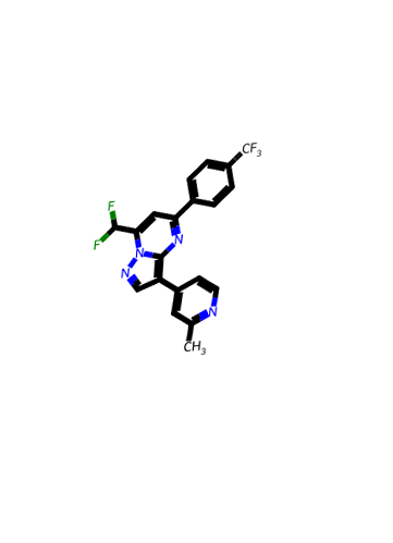 Cc1cc(-c2cnn3c(C(F)F)cc(-c4ccc(C(F)(F)F)cc4)nc23)ccn1